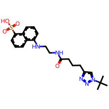 CC(C)(C)n1cc(CCCC(=O)NCCNc2cccc3c(S(=O)(=O)O)cccc23)nn1